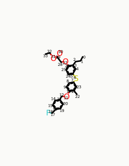 CCCc1cc(Sc2ccc(OCc3ccc(CF)cc3)c(C)c2)ccc1OCC(=O)OCC